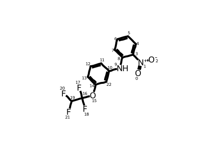 O=[N+]([O-])c1ccccc1Nc1cccc(OC(F)(F)C(F)F)c1